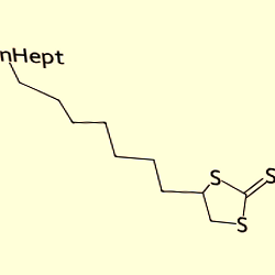 CCCCCCCCCCCCCCC1CSC(=S)S1